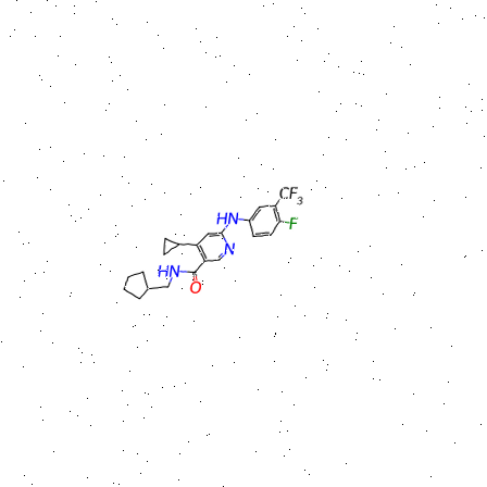 O=C(NCC1CCCC1)c1cnc(Nc2ccc(F)c(C(F)(F)F)c2)cc1C1CC1